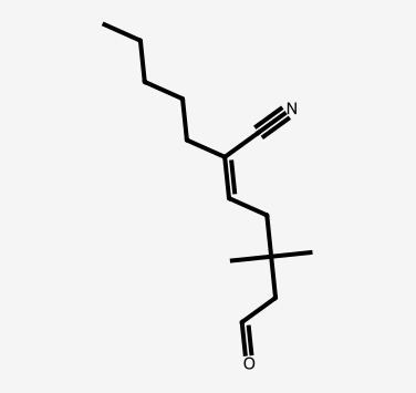 CCCCCC(C#N)=CCC(C)(C)CC=O